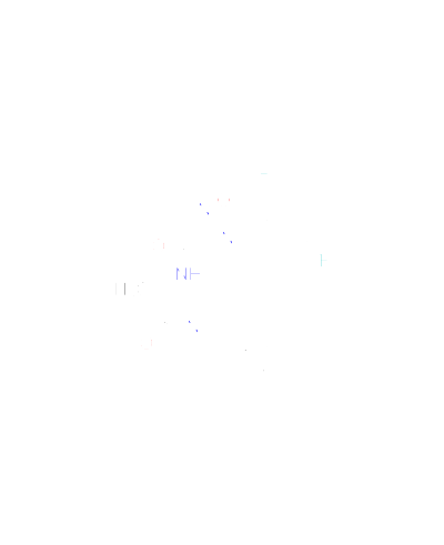 CC(NC(=O)c1noc(-c2cc(F)ccc2F)n1)C(=O)N1CCC2(CC1)CC2